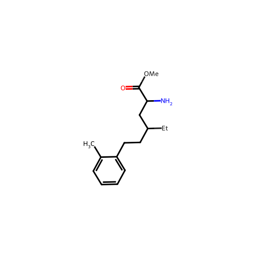 CCC(CCc1ccccc1C)CC(N)C(=O)OC